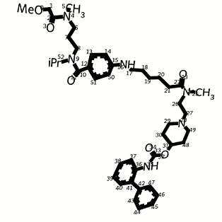 COCC(=O)N(C)CCCN(C(=O)c1ccc(NCCCCCC(=O)N(C)CCN2CCC(OC(=O)Nc3ccccc3-c3ccccc3)CC2)cc1)C(C)C